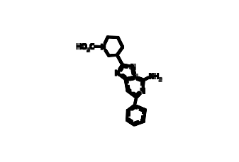 Nc1nc(-c2ccccc2)cc2nc(C3CCCN(C(=O)O)C3)nn12